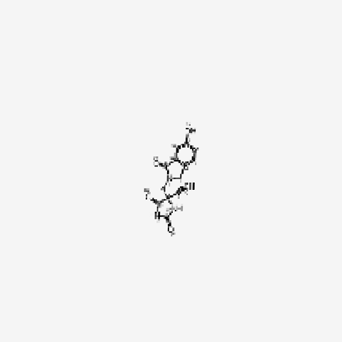 C#CC1(CN2Cc3ccc(O)cc3C2=O)NC(=O)NC1=O